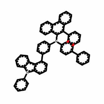 c1ccc(-c2ccc(N(c3cccc(-c4cccc5c4c4ccccc4n5-c4ccccc4)c3)c3c(-c4ccccc4)c4ccccc4c4ccccc34)cc2)cc1